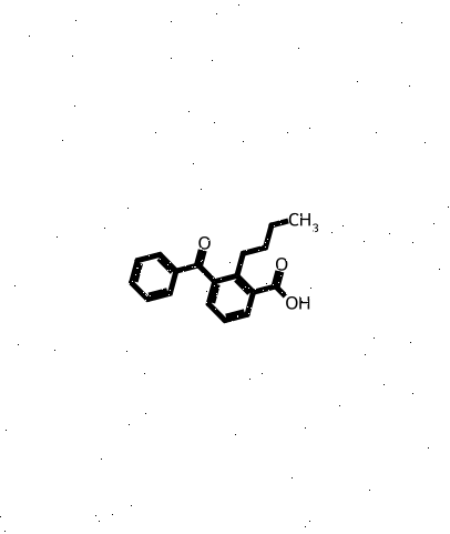 CCCCc1c(C(=O)O)cccc1C(=O)c1ccccc1